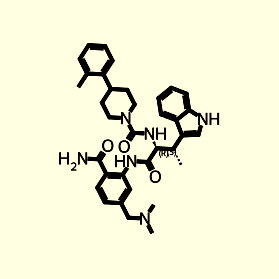 Cc1ccccc1C1CCN(C(=O)N[C@@H](C(=O)Nc2cc(CN(C)C)ccc2C(N)=O)[C@@H](C)c2c[nH]c3ccccc23)CC1